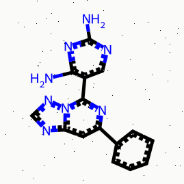 Nc1ncc(-c2nc(-c3ccccc3)cc3ncnn23)c(N)n1